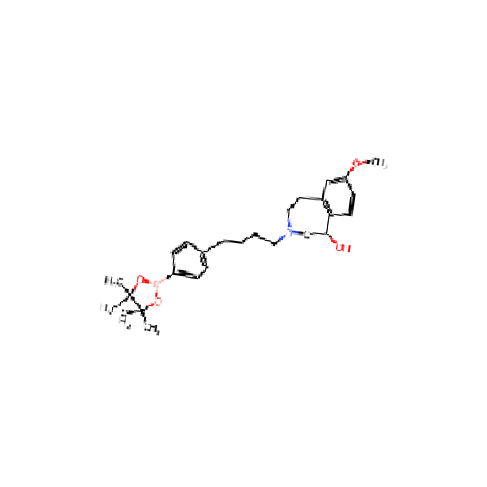 COc1ccc2c(c1)CCN(CCCCc1ccc(B3OC(C)(C)C(C)(C)O3)cc1)C[C@@H]2O